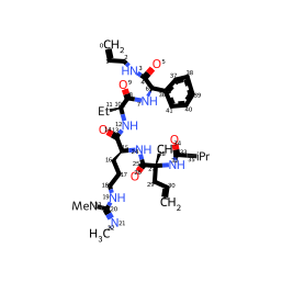 C=CCNC(=O)[C@H](NC(=O)[C@H](CC)NC(=O)[C@H](CCCN/C(=N/C)NC)NC(=O)[C@@](C)(CC=C)NC(=O)C(C)C)c1ccccc1